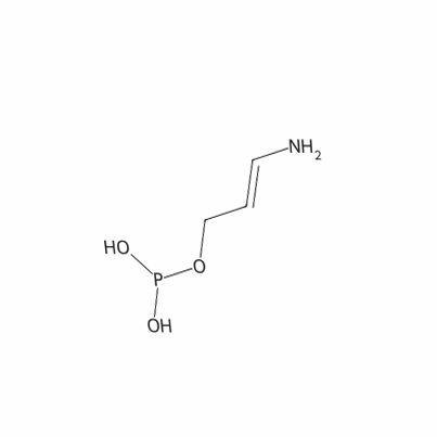 NC=CCOP(O)O